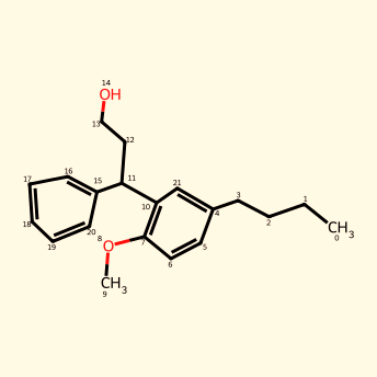 CCCCc1ccc(OC)c(C(CCO)c2ccccc2)c1